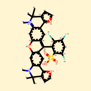 CN1c2cc3c(cc2-c2occc2C1(C)C)C(c1c(F)c(F)cc(F)c1S(=O)(=O)O)=c1cc2c(cc1O3)=[N+](C)C(C)(C)c1ccoc1-2